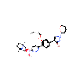 COCOc1cc(-c2cn(C3CCCCO3)nc2Br)ccc1-c1ccc(N(C)C2C[C@]3(C)CC[C@](C)(C2)N3C(=O)OC(C)(C)C)nn1